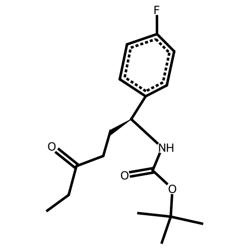 CCC(=O)CC[C@H](NC(=O)OC(C)(C)C)c1ccc(F)cc1